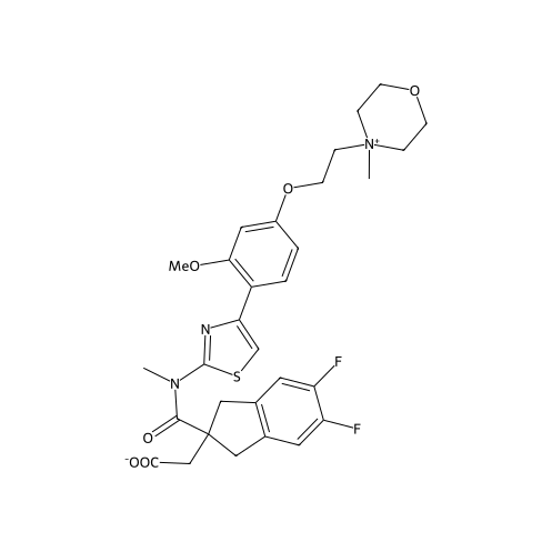 COc1cc(OCC[N+]2(C)CCOCC2)ccc1-c1csc(N(C)C(=O)C2(CC(=O)[O-])Cc3cc(F)c(F)cc3C2)n1